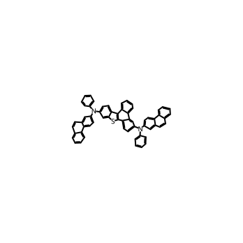 c1ccc(N(c2ccc3c(ccc4ccccc43)c2)c2ccc3c(c2)sc2c4ccc(N(c5ccccc5)c5ccc6c(ccc7ccccc76)c5)cc4c4ccccc4c32)cc1